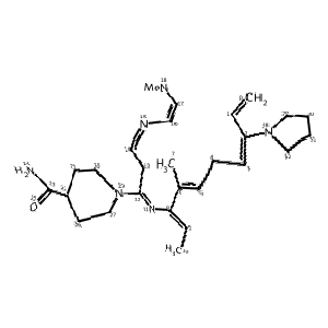 C=C/C(=C\C/C=C(C)/C(=C/C)/N=C(\C/C=N\C=C/NC)N1CCC(C(N)=O)CC1)N1CCCC1